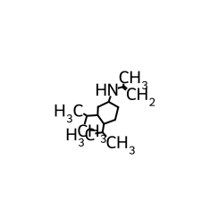 C=C(C)NC1CCC(C(C)C)C(C(C)C)C1